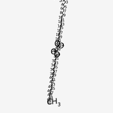 CCCCCCCCCCCCCCCCCCCCCCOC(=O)CCC(=O)OCCCCCCCCCCCCCCCCCCCCCC